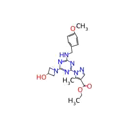 CCOC(=O)c1cnn(-c2nc(NCc3ccc(OC)cc3)nc(N3CC(O)C3)n2)c1C